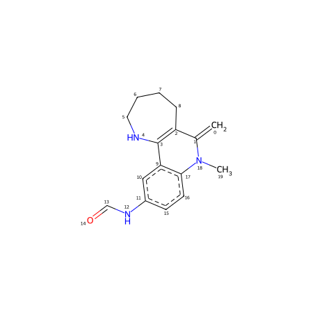 C=C1C2=C(NCCCC2)c2cc(NC=O)ccc2N1C